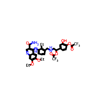 CCOc1cc2ncc(C(N)=O)c(Nc3cccc(CNCC(OC(=O)C(F)(F)F)c4ccc(OC(=O)C(F)(F)F)c(O)c4)c3CC)c2cc1OCC